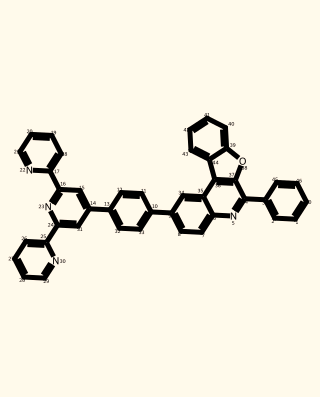 c1ccc(-c2nc3ccc(-c4ccc(-c5cc(-c6ccccn6)nc(-c6ccccn6)c5)cc4)cc3c3c2oc2ccccc23)cc1